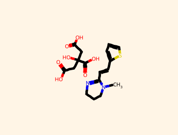 CN1CCCN=C1C=Cc1cccs1.O=C(O)CC(O)(CC(=O)O)C(=O)O